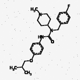 CC(C)COc1ccc(NC(=O)N(Cc2ccc(F)cc2)C2CCN(C)CC2)cc1